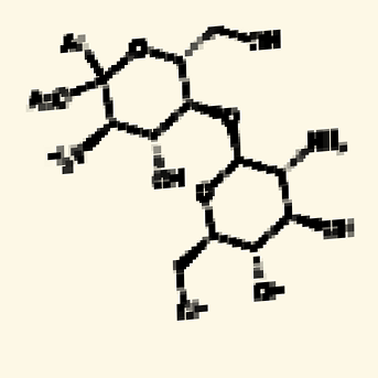 CC(=O)OC1(C(C)=O)O[C@H](CO)[C@@H](O[C@@H]2O[C@H](CO)[C@@H](O)[C@H](O)[C@H]2N)[C@H](O)[C@H]1N